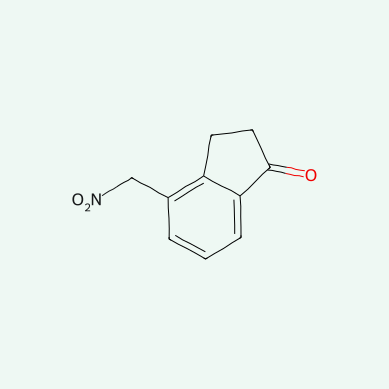 O=C1CCc2c(C[N+](=O)[O-])cccc21